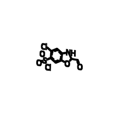 O=CC1Nc2cc(Cl)c(S(=O)(=O)Cl)cc2O1